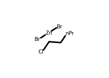 CCCCCCl.[Br][Zn][Br]